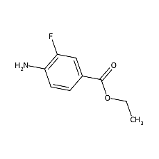 CCOC(=O)c1ccc(N)c(F)c1